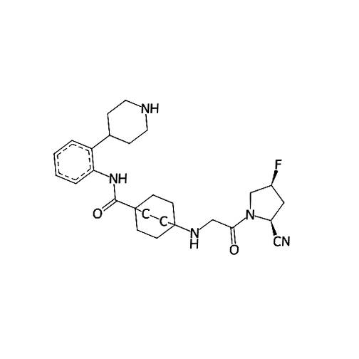 N#C[C@@H]1C[C@H](F)CN1C(=O)CNC12CCC(C(=O)Nc3ccccc3C3CCNCC3)(CC1)CC2